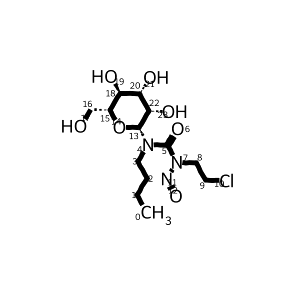 CCCCN(C(=O)N(CCCl)N=O)[C@@H]1O[C@H](CO)[C@@H](O)[C@H](O)[C@@H]1O